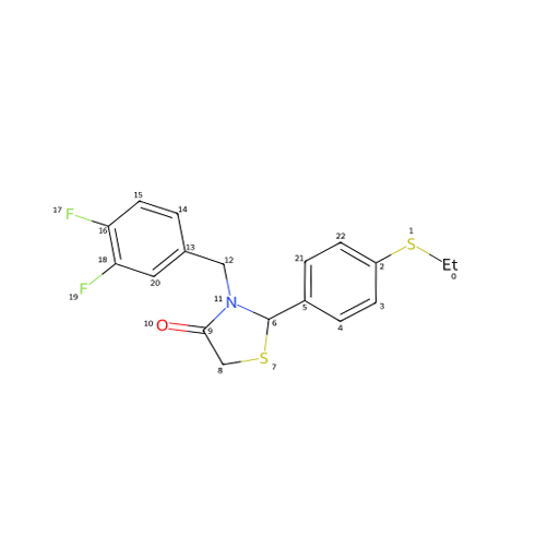 CCSc1ccc(C2SCC(=O)N2Cc2ccc(F)c(F)c2)cc1